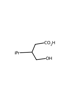 CC(C)C(CO)CC(=O)O